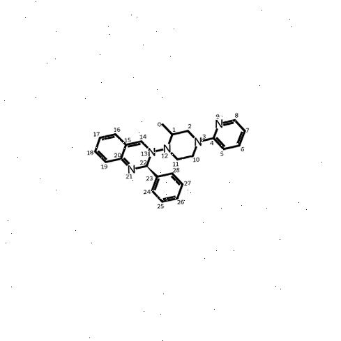 CC1CN(c2ccccn2)CCN1N1C=c2ccccc2=N[C@@H]1c1ccccc1